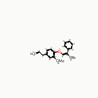 C=CCc1ccc(OC=C(OC)c2ccccc2)c(OC)c1